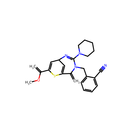 C=C(OC)C1=CC2C=C(S1)C(=C)N(Cc1ccccc1C#N)C(N1CCCCC1)=N2